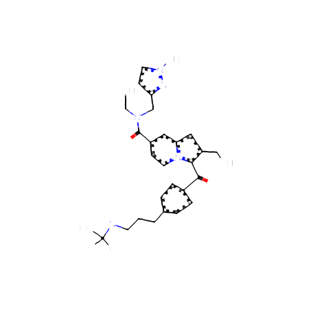 CCc1cc2cc(C(=O)N(CC)Cc3ccn(C)n3)ccn2c1C(=O)c1ccc(CCCNC(C)(C)C)cc1